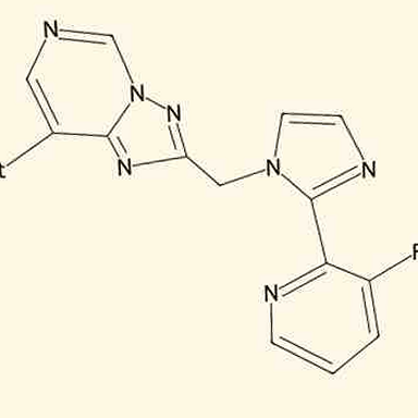 CCc1cncn2nc(Cn3ccnc3-c3ncccc3F)nc12